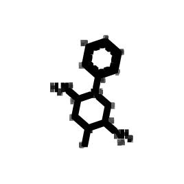 CC1CC(N)N(c2ccccc2)CC1N